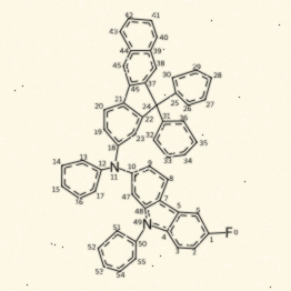 Fc1ccc2c(c1)c1ccc(N(c3ccccc3)c3ccc4c(c3)C(c3ccccc3)(c3ccccc3)c3cc5ccccc5cc3-4)cc1n2-c1ccccc1